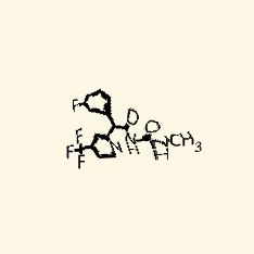 CNC(=O)NC(=O)C(c1cccc(F)c1)c1cc(C(F)(F)F)ccn1